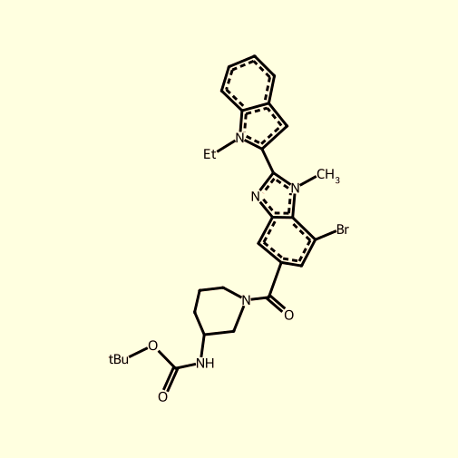 CCn1c(-c2nc3cc(C(=O)N4CCCC(NC(=O)OC(C)(C)C)C4)cc(Br)c3n2C)cc2ccccc21